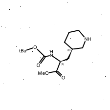 COC(=O)[C@H](C[C@H]1CCCNC1)NC(=O)OC(C)(C)C